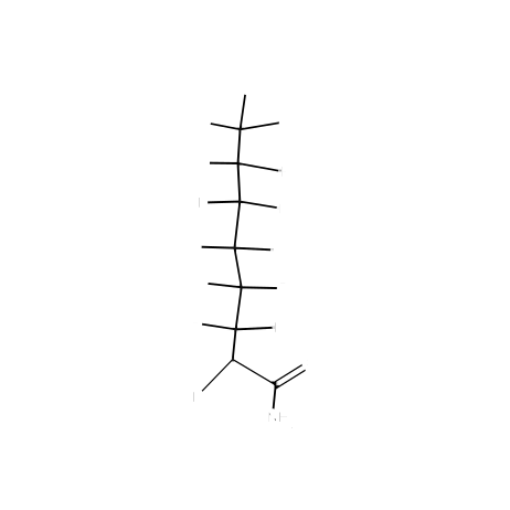 NC(=O)C(F)C(F)(F)C(F)(F)C(F)(F)C(F)(F)C(F)(F)C(F)(F)F